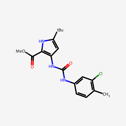 COC(=O)c1[nH]c(C(C)(C)C)cc1NC(=O)Nc1ccc(C)c(Cl)c1